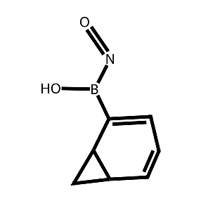 O=NB(O)C1=CC=CC2CC12